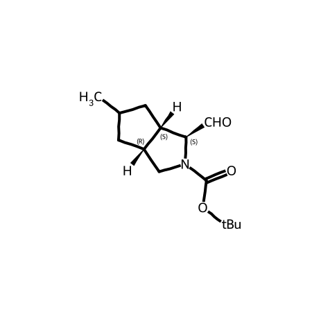 CC1C[C@H]2CN(C(=O)OC(C)(C)C)[C@H](C=O)[C@H]2C1